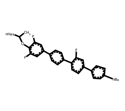 CCCCCCC(C)Oc1c(F)cc(-c2ccc(-c3ccc(-c4ccc(CCCC)cc4)cc3F)cc2)cc1F